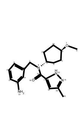 CO[C@H]1CC[C@H](N(Cc2cccc(N)c2)C(=O)c2cc(C)n[nH]2)CC1